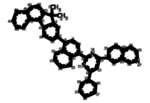 CC1(C)c2cc(-c3ccc(-c4nc(-c5ccccc5)cc(-c5ccc6ccncc6c5)n4)c4ccccc34)ccc2-c2c1ccc1ccccc21